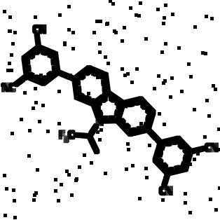 CC(n1c2cc(-c3cc(C#N)cc(C#N)c3)ccc2c2ccc(-c3cc(C#N)cc(C#N)c3)cc21)C(F)(F)F